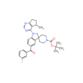 CC1CCc2ncnc(N3CC4(CCN(C(=O)OC(C)(C)C)CC4)c4cc(C(=O)c5cccc(F)c5)ccc43)c21